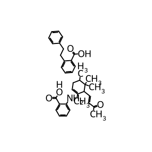 CC(=O)/C=C/C1C(C)=CCC(C)C1(C)C.Nc1ccccc1C(=O)O.O=C(O)c1ccccc1CCc1ccccc1